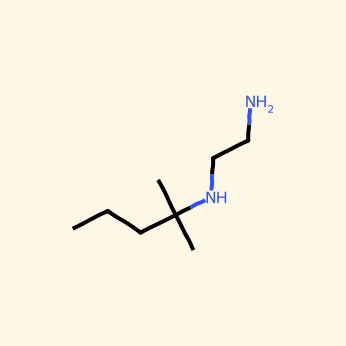 CCCC(C)(C)NCCN